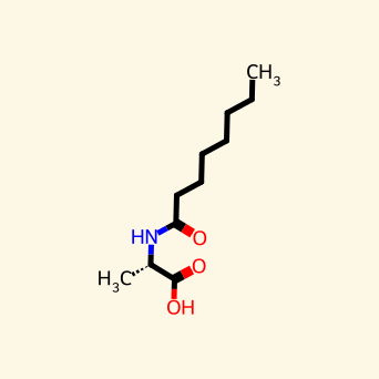 CCCCCCCC(=O)N[C@@H](C)C(=O)O